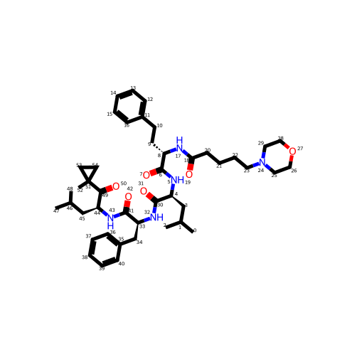 CC(C)C[C@H](NC(=O)[C@H](CCc1ccccc1)NC(=O)CCCCN1CCOCC1)C(=O)N[C@@H](Cc1ccccc1)C(=O)N[C@@H](CC(C)C)C(=O)C1(C)CC1